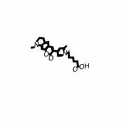 CCN1CCCc2cc3cc(-c4cc[n+](CCCCCC(=O)O)c(C)c4)c(=O)oc3cc21